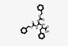 O=C(N=C(NC(=O)OCc1ccccc1)NC(Cc1ccccc1)C(=O)O)OCc1ccccc1